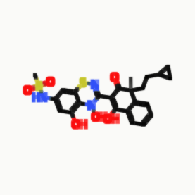 CC1(CCC2CC2)C(=O)C(C2=NSc3cc(NS(C)(=O)=O)cc(O)c3N2O)=C(O)c2ccccc21